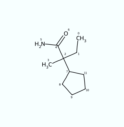 CCC(C)(C(N)=O)C1CCCC1